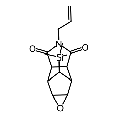 C=CCN1C(=O)C2C(C1=O)C1C3OC3C2C1[Si](C)(C)C